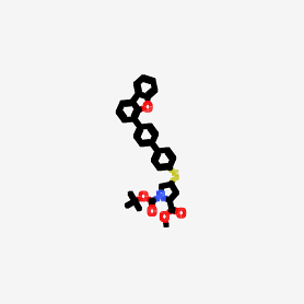 COC(=O)C1CC(Sc2ccc(-c3ccc(-c4cccc5c4oc4ccccc45)cc3)cc2)CN1C(=O)OC(C)(C)C